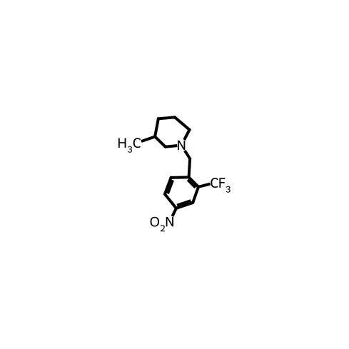 CC1CCCN(Cc2ccc([N+](=O)[O-])cc2C(F)(F)F)C1